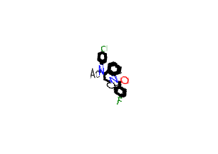 CC(=O)N(c1ccc(Cl)cc1)[C@H]1C[C@@H](C)N(C(=O)c2ccc(F)cc2)c2ccccc21